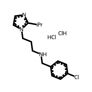 CC(C)c1nccn1CCCNCc1ccc(Cl)cc1.Cl.Cl